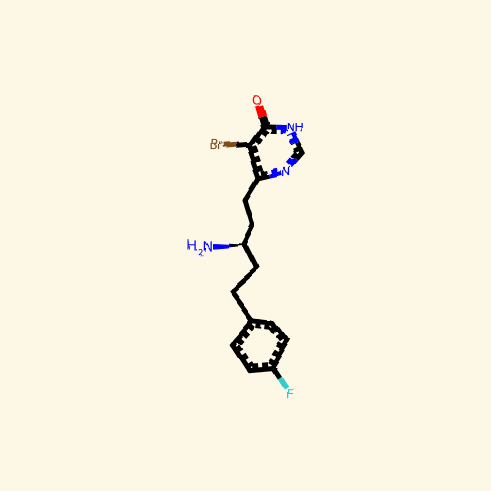 N[C@H](CCc1ccc(F)cc1)CCc1nc[nH]c(=O)c1Br